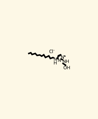 CCCCCCCCCCCCNc1cc[n+](C)c(NCCO)n1.[Cl-]